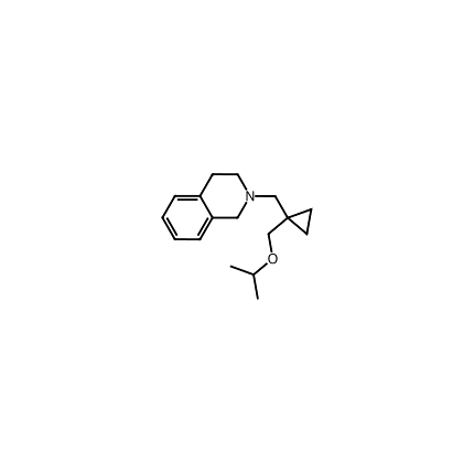 CC(C)OCC1(CN2CCc3ccccc3C2)CC1